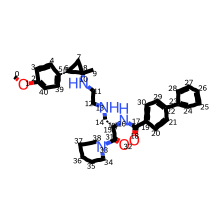 COc1ccc([C@@H]2CC2(C)NCCNC[C@H](NC(=O)c2ccc(-c3ccccc3)cc2)C(=O)N2CCCCC2)cc1